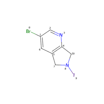 Brc1cnc2c(c1)CN(I)C2